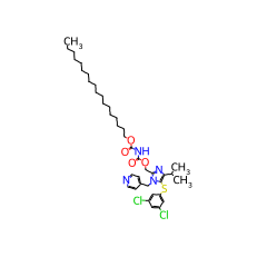 CCCCCCCCCCCCCCCCCCOC(=O)NC(=O)OCc1nc(C(C)C)c(Sc2cc(Cl)cc(Cl)c2)n1Cc1ccncc1